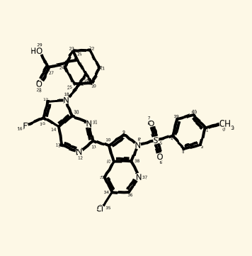 Cc1ccc(S(=O)(=O)n2cc(-c3ncc4c(F)cn(C5C6CCC(CC6)C5C(=O)O)c4n3)c3cc(Cl)cnc32)cc1